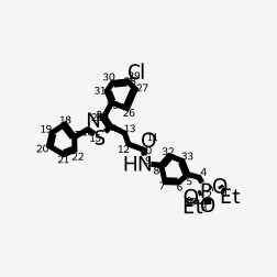 CCOP(=O)(Cc1ccc(NC(=O)CCc2sc(-c3ccccc3)nc2-c2ccc(Cl)cc2)cc1)OCC